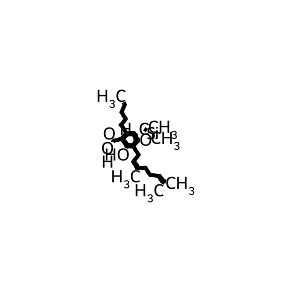 CCCCCc1cc(O[Si](C)(C)C)c(CC=C(C)CCC=C(C)C)c(O)c1C(=O)O